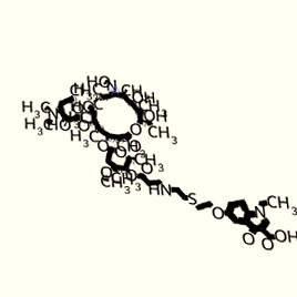 CC[C@H]1OC(=O)[C@H](C)[C@@H](O[C@H]2C[C@@](C)(OC)[C@@H](OC(=O)CCNCCSCCOc3ccc4c(c3)c(=O)c(C(=O)O)cn4CC)[C@H](C)O2)[C@H](C)[C@@H](O[C@@H]2O[C@H](C)C[C@H](N(C)C)[C@H]2O)[C@](C)(O)C[C@@H](C)/C(=N\O)[C@@H](C)[C@@H](O)[C@]1(C)O